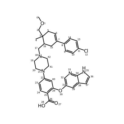 COCC1(C)CC=C(c2ccc(Cl)cc2)CC1CN1CCN(c2ccc(C(=O)O)c(Oc3cnc4[nH]ccc4c3)c2)CC1